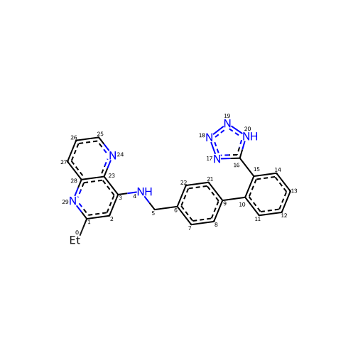 CCc1cc(NCc2ccc(-c3ccccc3-c3nnn[nH]3)cc2)c2ncccc2n1